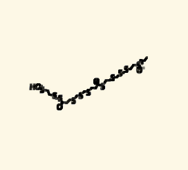 CCC[S+]([O-])CCSCSCSCCSC(=O)CCSCSCSCCC(=O)SCSCCSCO